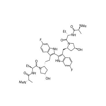 CC[C@H](NC(=O)[C@H](C)NC)C(=O)N1C[C@@H](O)C[C@H]1CCc1c(-c2[nH]c3cc(F)ccc3c2C[C@@H]2C[C@H](O)CN2C(=O)[C@H](CC)NC(=O)[C@H](C)NC)[nH]c2cc(F)ccc12